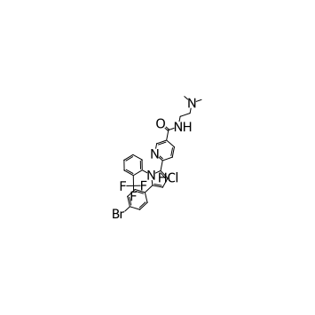 CN(C)CCNC(=O)c1ccc(-c2ccc(-c3ccc(Br)cc3)n2-c2ccccc2C(F)(F)F)nc1.Cl